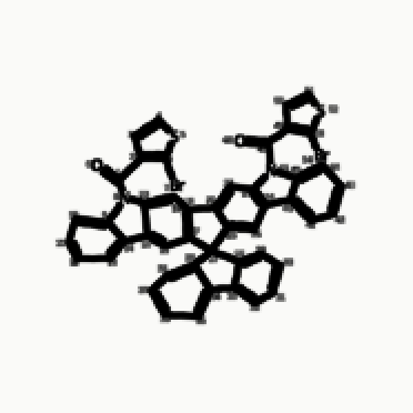 O=C(c1ccsc1Br)n1c2ccccc2c2cc3c(cc21)-c1cc2c(cc1C31c3ccccc3-c3ccccc31)c1ccccc1n2C(=O)c1ccsc1Br